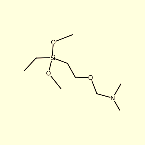 CC[Si](CCOCN(C)C)(OC)OC